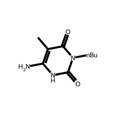 CCCCn1c(=O)[nH]c(N)c(C)c1=O